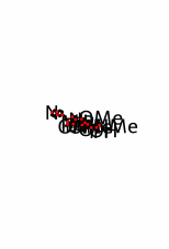 CC[C@H](C)C([C@@H](CC(=O)N1CCC[C@H]1[C@H](OC)[C@@H](C)C(=O)NCCc1ccc2cnccc2c1)OC)N(C)C(=O)[C@@H](NC(O)[C@@H](NC)C(C)C)C(C)C